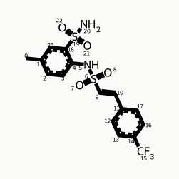 Cc1ccc(NS(=O)(=O)/C=C/c2ccc(C(F)(F)F)cc2)c(S(N)(=O)=O)c1